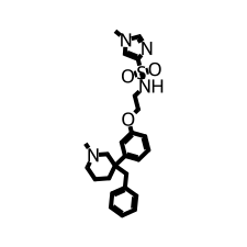 CN1CCCC(Cc2ccccc2)(c2cccc(OCCNS(=O)(=O)c3cn(C)cn3)c2)C1